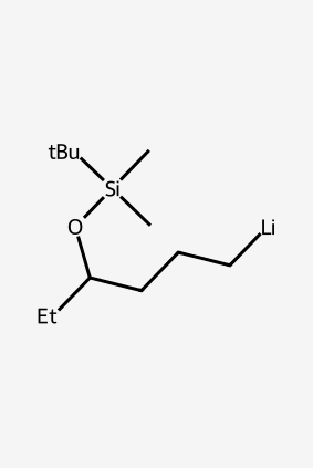 [Li][CH2]CCC(CC)O[Si](C)(C)C(C)(C)C